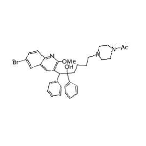 COc1nc2ccc(Br)cc2cc1C(c1ccccc1)C(O)(CCCCN1CCN(C(C)=O)CC1)c1ccccc1